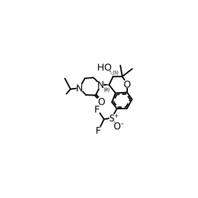 CC(C)N1CCN([C@@H]2c3cc([S+]([O-])C(F)F)ccc3OC(C)(C)[C@H]2O)C(=O)C1